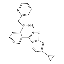 N[C@@H](Cc1ccccn1)c1ccccc1-c1noc2cc(C3CC3)ccc12